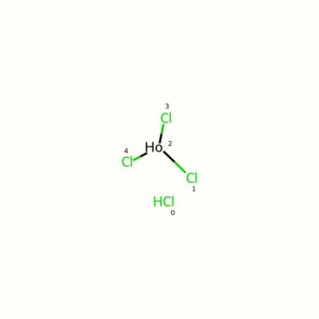 Cl.[Cl][Ho]([Cl])[Cl]